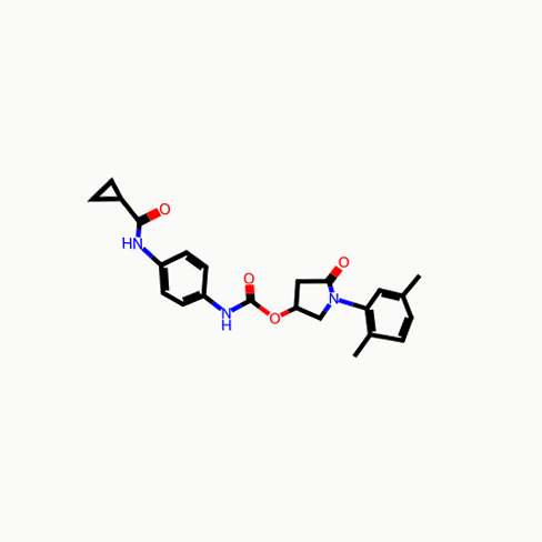 Cc1ccc(C)c(N2CC(OC(=O)Nc3ccc(NC(=O)C4CC4)cc3)CC2=O)c1